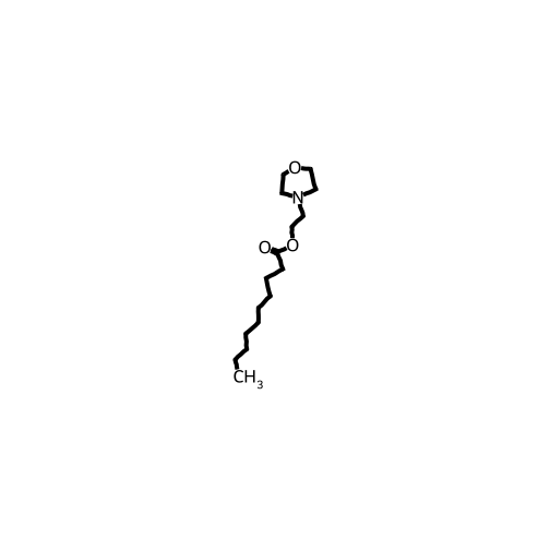 CCCCCCCCCC(=O)OCCN1CCOCC1